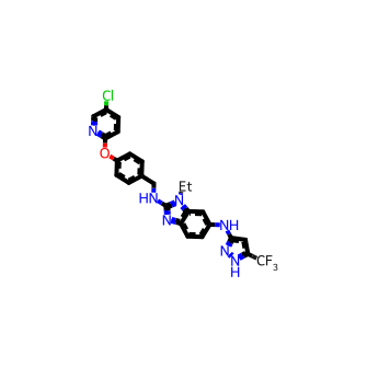 CCn1c(NCc2ccc(Oc3ccc(Cl)cn3)cc2)nc2ccc(Nc3cc(C(F)(F)F)[nH]n3)cc21